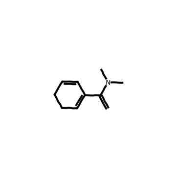 C=C(C1=CCCC=C1)N(C)C